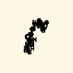 COC(=O)N[C@H](C(=O)N1CCC[C@H]1c1nc2c([nH]1)-c1ccc(-c3ccc(-c4cnc([C@@H]5CCCN5C(=O)[C@@H](NC(=O)OC)C5CCOCC5)[nH]4)cc3)cc1CCC2)C(C)C